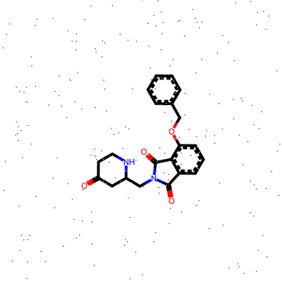 O=C1CCNC(CN2C(=O)c3cccc(OCc4ccccc4)c3C2=O)C1